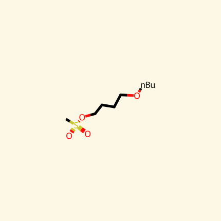 CCCCOCCCCOS(C)(=O)=O